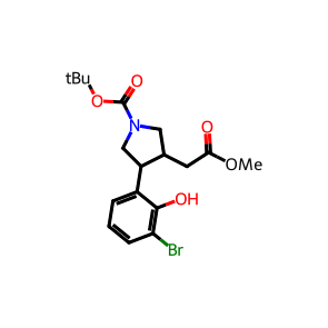 COC(=O)CC1CN(C(=O)OC(C)(C)C)CC1c1cccc(Br)c1O